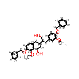 COc1cc(C[C@H](CO)[C@@H](CCO)Cc2ccc(OCc3ccccc3)c(OC)c2)ccc1OCc1ccccc1